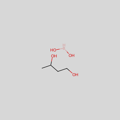 CC(O)CCO.OBO